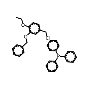 CCOc1ccc(CCl)cc1OCc1ccccc1.c1ccc(P(c2ccccc2)c2ccccc2)cc1